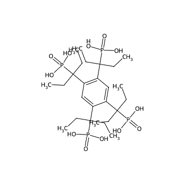 CCC(CC)(c1cc(C(CC)(CC)P(=O)(O)O)c(C(CC)(CC)P(=O)(O)O)cc1C(CC)(CC)P(=O)(O)O)P(=O)(O)O